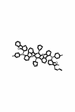 C=C/C=C\c1c(C)oc2c(N(c3ccc(C)cc3)c3cccc4c3c3cccc5c6c(-c7ccccc7)c7c(c(-c8ccccc8)c6n4c35)c3cccc4c5c(N(c6ccc(C)cc6)c6cccc8c6oc6ccccc68)cccc5n7c43)cccc12